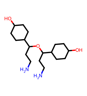 NCCC(OC(CCN)C1CCC(O)CC1)C1CCC(O)CC1